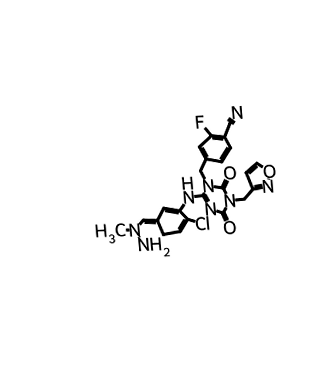 CN(N)/C=C1/C=C(Nc2nc(=O)n(Cc3ccon3)c(=O)n2Cc2ccc(C#N)c(F)c2)C(Cl)=CC1